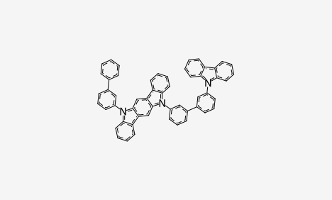 c1ccc(-c2cccc(-n3c4ccccc4c4cc5c(cc43)c3ccccc3n5-c3cccc(-c4cccc(-n5c6ccccc6c6ccccc65)c4)c3)c2)cc1